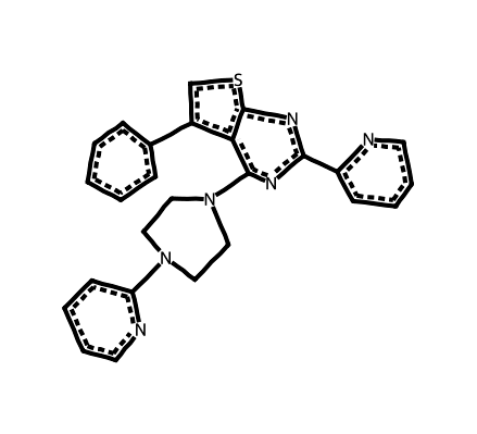 c1ccc(-c2csc3nc(-c4ccccn4)nc(N4CCN(c5ccccn5)CC4)c23)cc1